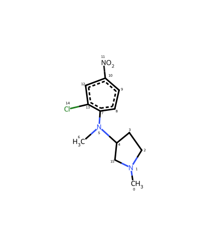 CN1CCC(N(C)c2ccc([N+](=O)[O-])cc2Cl)C1